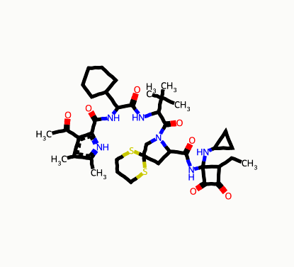 CCC1C(=O)C(=O)C1(NC(=O)C1CC2(CN1C(=O)C(NC(=O)C(NC(=O)c1[nH]c(C)c(C)c1C(C)=O)C1CCCCC1)C(C)(C)C)SCCCS2)NC1CC1